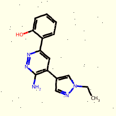 CCn1cc(-c2cc(-c3ccccc3O)nnc2N)cn1